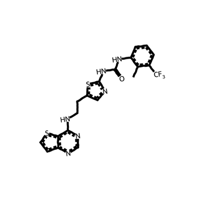 Cc1c(NC(=O)Nc2ncc(CCNc3ncnc4ccsc34)s2)cccc1C(F)(F)F